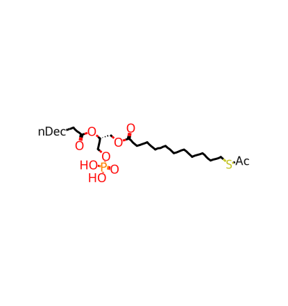 CCCCCCCCCCCC(=O)O[C@H](COC(=O)CCCCCCCCCCSC(C)=O)COP(=O)(O)O